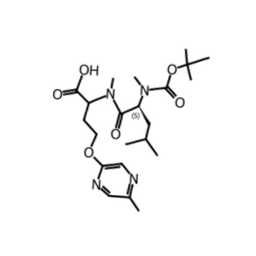 Cc1cnc(OCCC(C(=O)O)N(C)C(=O)[C@H](CC(C)C)N(C)C(=O)OC(C)(C)C)cn1